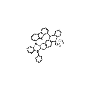 CC1(C)c2ccccc2N(c2cccc3c2sc2c(B4c5ccccc5B(c5ccccc5)c5ccccc54)cccc23)c2ccccc21